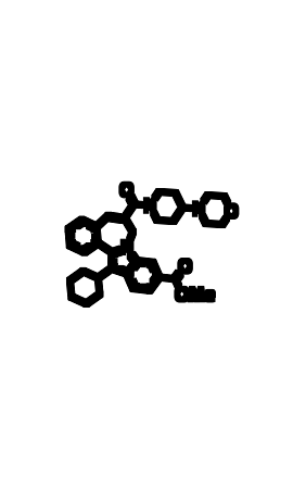 COC(=O)c1ccc2c(C3CCCCC3)c3n(c2c1)CC(C(=O)N1CCC(N2CCOCC2)CC1)=Cc1ccccc1-3